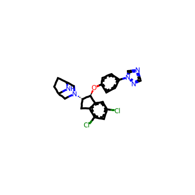 Clc1cc(Cl)c2c(c1)[C@H](Oc1ccc(-n3cncn3)cc1)[C@@H](N1CC3CCC(C1)N3)C2